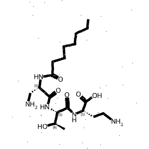 CCCCCCCC(=O)N[C@@H](CN)C(=O)N[C@H](C(=O)N[C@@H](CCN)C(=O)O)[C@@H](C)O